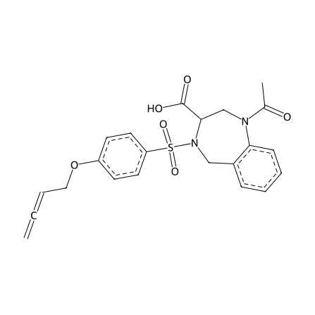 C=C=CCOc1ccc(S(=O)(=O)N2Cc3ccccc3N(C(C)=O)CC2C(=O)O)cc1